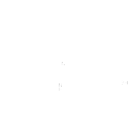 CBc1ccc(-c2nc3c4ccccc4c4ccccc4c3[nH]2)cc1